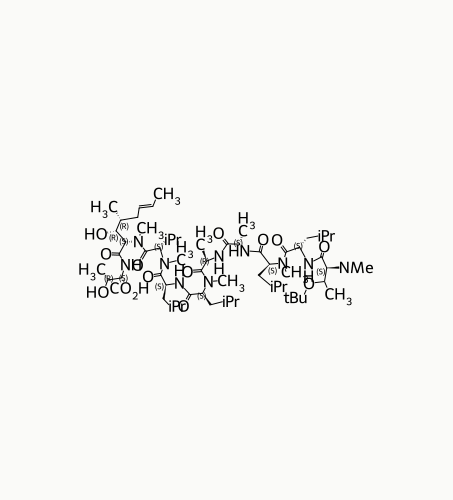 CC=CC[C@@H](C)[C@@H](O)[C@@H](C(=O)N[C@H](C(=O)O)[C@@H](C)O)N(C)C(=O)[C@H](C(C)C)N(C)C(=O)[C@H](CC(C)C)NC(=O)[C@H](CC(C)C)N(C)C(=O)[C@@H](C)NC(=O)[C@H](C)NC(=O)[C@H](CC(C)C)N(C)C(=O)[C@H](CC(C)C)NC(=O)[C@@H](NC)C(C)OC(C)(C)C